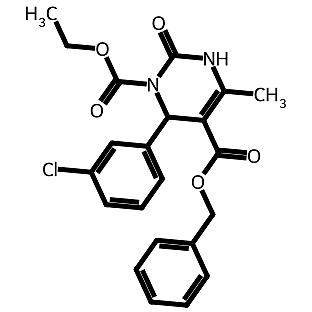 CCOC(=O)N1C(=O)NC(C)=C(C(=O)OCc2ccccc2)C1c1cccc(Cl)c1